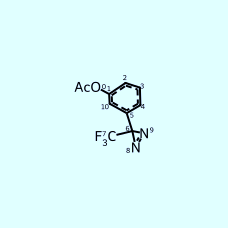 CC(=O)Oc1cccc(C2(C(F)(F)F)N=N2)c1